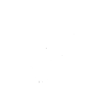 C=CCOC(=O)c1cc(C(=O)O)c(C(=O)OCc2ccccc2)cc1C(=O)N(Cc1ccccc1)Cc1ccc(Oc2ccccc2)cc1